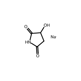 O=C1CC(O)C(=O)N1.[Na]